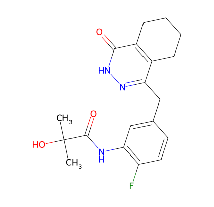 CC(C)(O)C(=O)Nc1cc(Cc2n[nH]c(=O)c3c2CCCC3)ccc1F